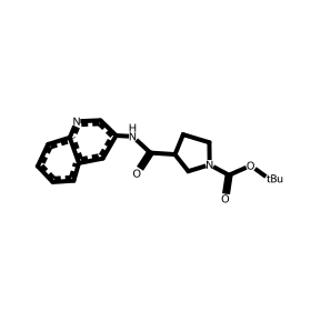 CC(C)(C)OC(=O)N1CCC(C(=O)Nc2cnc3ccccc3c2)C1